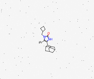 CC(C)c1c(C2C3CC4CC(C3)CC2C4)[nH]c(=O)n1CC1CCC1